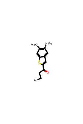 CNc1cc2cc(C(=O)CCC(C)=O)sc2cc1OC